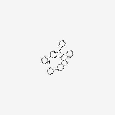 c1ccc(-c2ccc3sc4c5ccccc5c5c(c6cc(-c7ncccn7)ccc6n5-c5ccccc5)c4c3c2)cc1